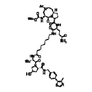 CC(=O)N1CC[C@H]2CC[C@@H](C(=O)N[C@@H](CCC(N)=O)C(=O)NCCCCCCCC(=O)N[C@H](C(=O)N3C[C@H](O)C[C@H]3C(=O)NCc3ccc(-c4scnc4C)cc3)C(C)(C)C)N2C(=O)[C@@H](NC(=O)OC(C)(C)C)C1